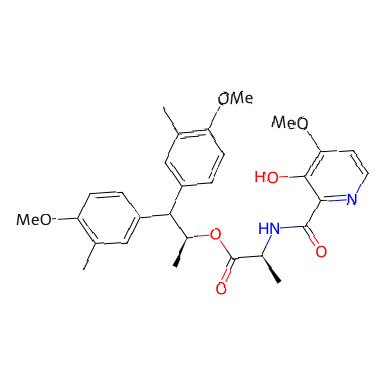 COc1ccc(C(c2ccc(OC)c(C)c2)[C@H](C)OC(=O)[C@H](C)NC(=O)c2nccc(OC)c2O)cc1C